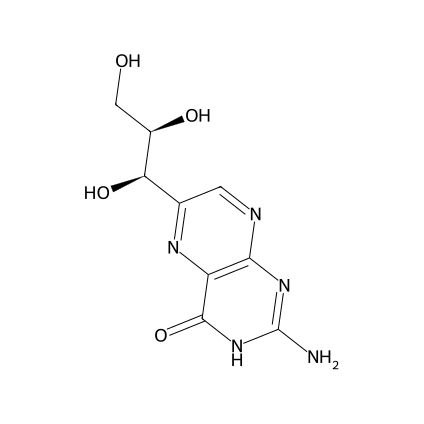 Nc1nc2ncc([C@@H](O)[C@H](O)CO)nc2c(=O)[nH]1